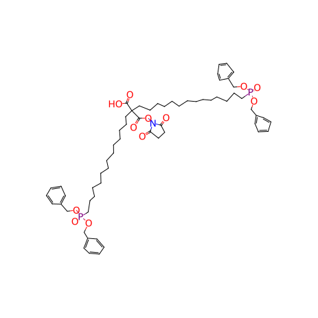 O=C1CCC(=O)N1OC(=O)C(CCCCCCCCCCCCCCP(=O)(OCc1ccccc1)OCc1ccccc1)(CCCCCCCCCCCCCCP(=O)(OCc1ccccc1)OCc1ccccc1)C(=O)O